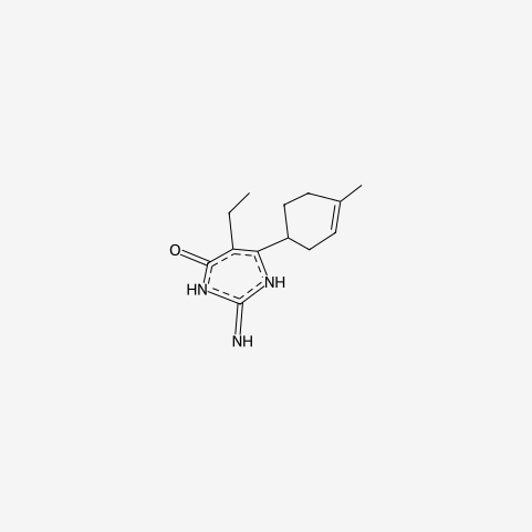 CCc1c(C2CC=C(C)CC2)[nH]c(=N)[nH]c1=O